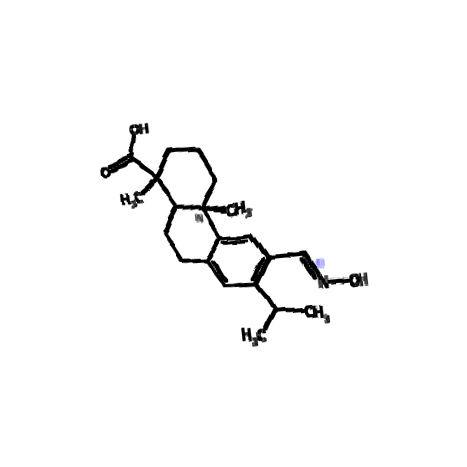 CC(C)c1cc2c(cc1/C=N/O)[C@@]1(C)CCCC(C)(C(=O)O)C1CC2